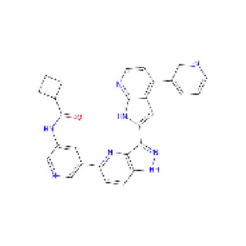 O=C(Nc1cncc(-c2ccc3[nH]nc(-c4cc5c(-c6cccnc6)ccnc5[nH]4)c3n2)c1)C1CCC1